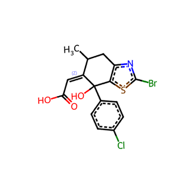 CC1Cc2nc(Br)sc2C(O)(c2ccc(Cl)cc2)/C1=C\C(=O)O